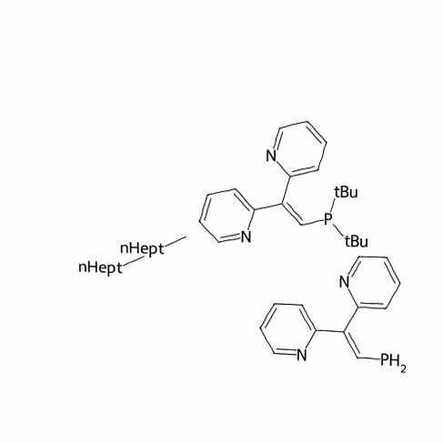 CC(C)(C)P(C=C(c1ccccn1)c1ccccn1)C(C)(C)C.CCCCCCCC.CCCCCCCC.PC=C(c1ccccn1)c1ccccn1